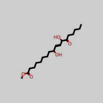 CCCCCC(=O)C(O)C=CC(O)CCCCCCCC(=O)OC